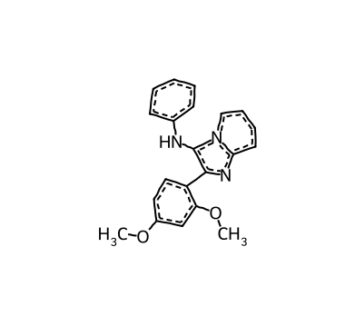 COc1ccc(-c2nc3ccccn3c2Nc2ccccc2)c(OC)c1